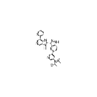 CC(=O)N(c1cncc(-c2ccc3[nH]nc(-c4nc5c(-c6ccccn6)cncc5[nH]4)c3n2)c1)N(C)C